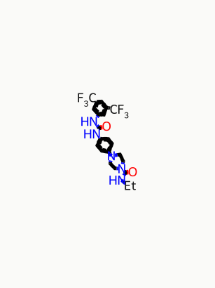 CCNC(=O)N1CCN(c2ccc(NC(=O)Nc3cc(C(F)(F)F)cc(C(F)(F)F)c3)cc2)CC1